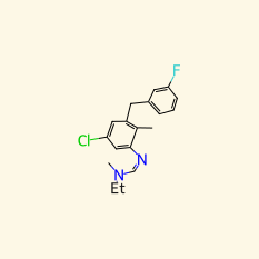 CCN(C)/C=N\c1cc(Cl)cc(Cc2cccc(F)c2)c1C